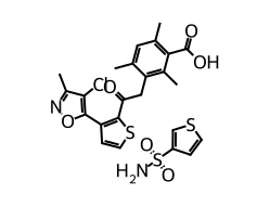 Cc1cc(C)c(C(=O)O)c(C)c1CC(=O)c1sccc1-c1onc(C)c1Cl.NS(=O)(=O)c1ccsc1